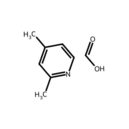 Cc1ccnc(C)c1.O=CO